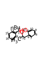 CCCCC(OC(C)Cc1ccccc1O)c1ccccc1